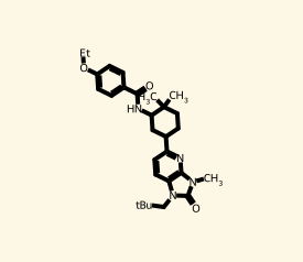 CCOc1ccc(C(=O)NC2CC(c3ccc4c(n3)n(C)c(=O)n4CC(C)(C)C)CCC2(C)C)cc1